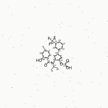 Cc1ccc(C(=O)N(c2cc(-c3cccc(C(F)(F)F)c3)sc2OC(=O)O)C(C)C)c(O)c1